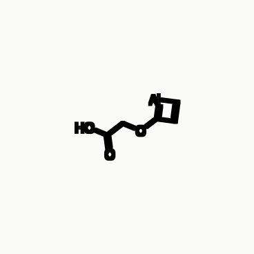 O=C(O)CO[C]1=[Al][CH]=C1